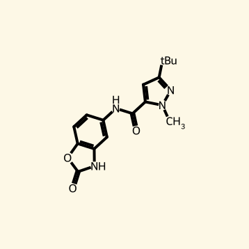 Cn1nc(C(C)(C)C)cc1C(=O)Nc1ccc2oc(=O)[nH]c2c1